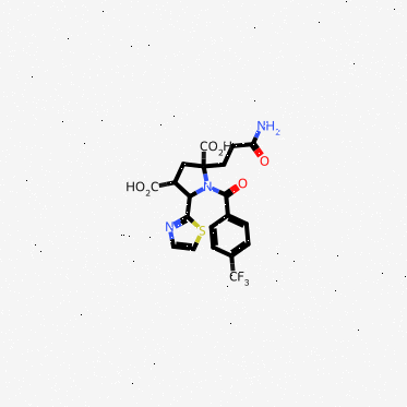 NC(=O)CCC1(C(=O)O)CC(C(=O)O)C(c2nccs2)N1C(=O)c1ccc(C(F)(F)F)cc1